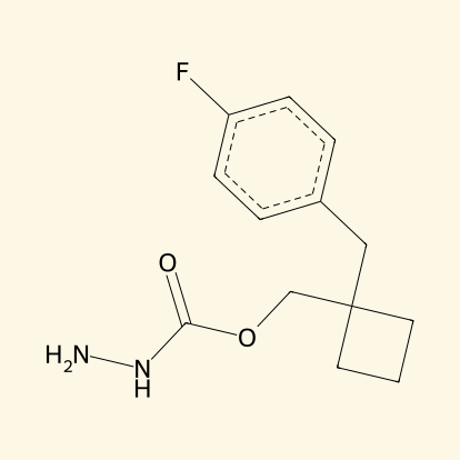 NNC(=O)OCC1(Cc2ccc(F)cc2)CCC1